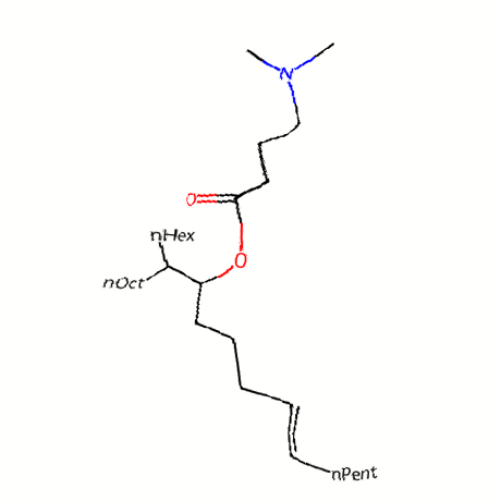 CCCCCC=CCCCC(OC(=O)CCCN(C)C)C(CCCCCC)CCCCCCCC